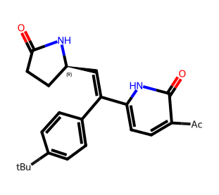 CC(=O)c1ccc(C(=C[C@H]2CCC(=O)N2)c2ccc(C(C)(C)C)cc2)[nH]c1=O